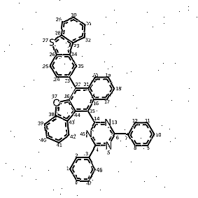 c1ccc(-c2nc(-c3ccccc3)nc(-c3c4ccccc4c(-c4ccc5sc6ccccc6c5c4)c4oc5ccccc5c34)n2)cc1